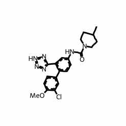 COc1ccc(-c2ccc(NC(=O)N3CCC(C)CC3)cc2-c2nn[nH]n2)cc1Cl